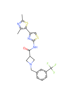 Cc1nc(C)c(-c2csc(NC(=O)C3CN(Cc4cccc(C(F)(F)F)c4)C3)n2)s1